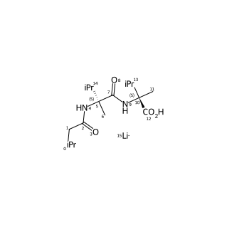 CC(C)CC(=O)N[C@](C)(C(=O)N[C@](C)(C(=O)O)C(C)C)C(C)C.[Li]